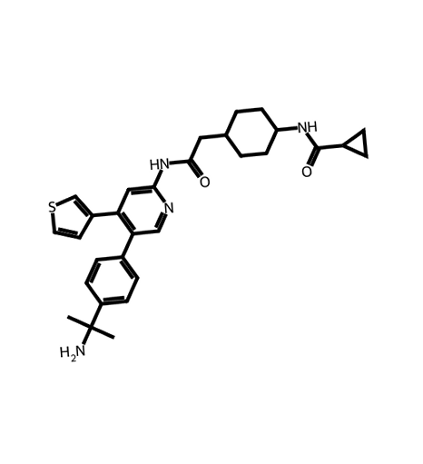 CC(C)(N)c1ccc(-c2cnc(NC(=O)CC3CCC(NC(=O)C4CC4)CC3)cc2-c2ccsc2)cc1